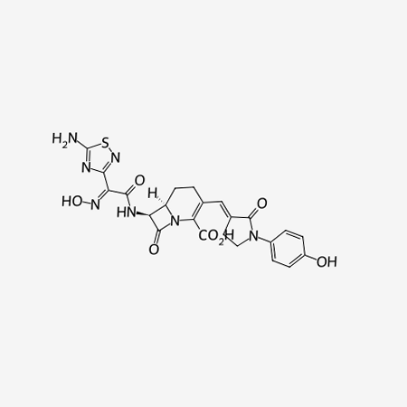 Nc1nc(C(=NO)C(=O)N[C@@H]2C(=O)N3C(C(=O)O)=C(C=C4CCN(c5ccc(O)cc5)C4=O)CC[C@H]23)ns1